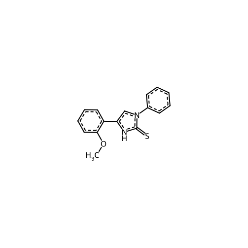 COc1ccccc1-c1cn(-c2ccccc2)c(=S)[nH]1